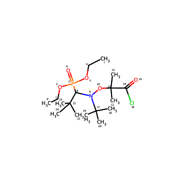 CCOP(=O)(OCC)C(N(OC(C)(C)C(=O)Cl)C(C)(C)C)C(C)(C)C